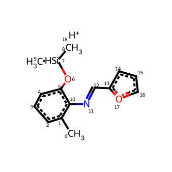 Cc1cccc(O[SiH](C)C)c1N=Cc1ccco1.[H+]